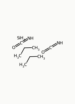 CCC.CCC.N=C=O.N=C=O.[SiH4]